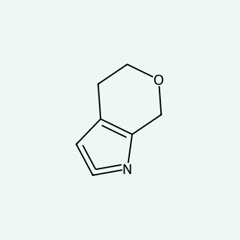 C1=CC2=C(COCC2)N=1